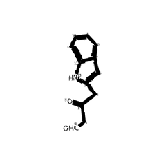 O=CCC(=O)Cc1cc2ccccc2[nH]1